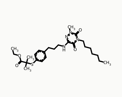 CCCCCCCn1c(=O)c(NCCCc2ccc(SC(C)(C)C(=O)OCC)cc2)nn(C)c1=O